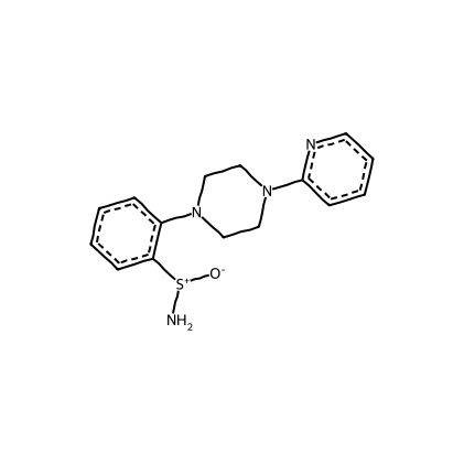 N[S+]([O-])c1ccccc1N1CCN(c2ccccn2)CC1